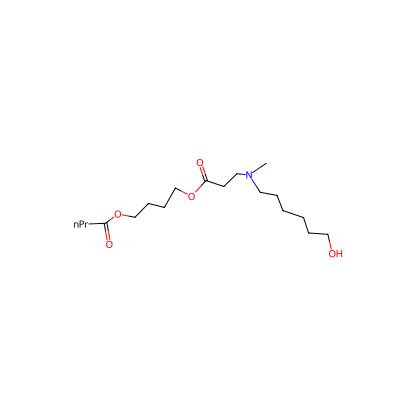 CCCC(=O)OCCCCOC(=O)CCN(C)CCCCCCO